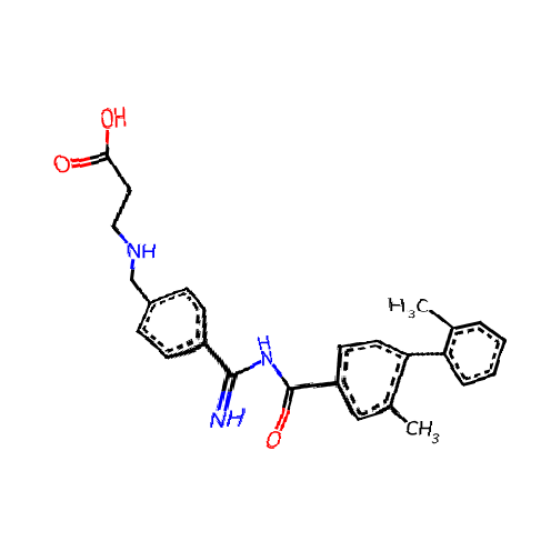 Cc1ccccc1-c1ccc(C(=O)NC(=N)c2ccc(CNCCC(=O)O)cc2)cc1C